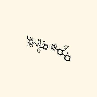 CCc1nnn(CCNC(=O)c2ccc(-c3noc(-c4ccc(-c5ccccc5C)c(COC)c4)n3)cc2F)n1